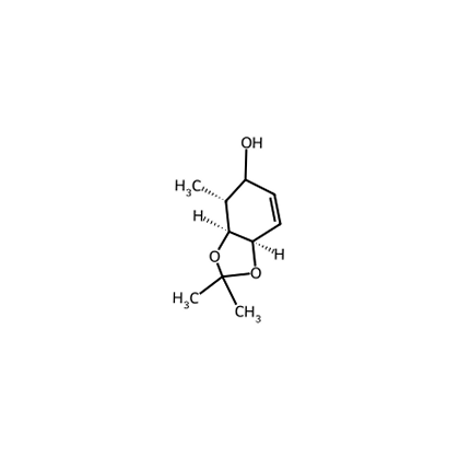 C[C@@H]1C(O)C=C[C@H]2OC(C)(C)O[C@@H]12